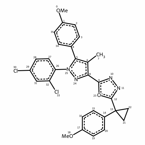 COc1ccc(-c2c(C)c(-c3nnc(C4(c5ccc(OC)cc5)CC4)o3)nn2-c2ccc(Cl)cc2Cl)cc1